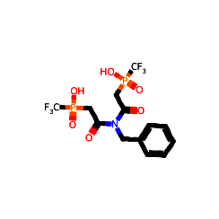 O=C(CP(=O)(O)C(F)(F)F)N(Cc1ccccc1)C(=O)CP(=O)(O)C(F)(F)F